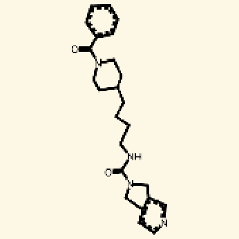 O=C(NCCCCC1CCN(C(=O)c2ccccc2)CC1)N1Cc2ccncc2C1